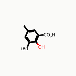 Cc1cc(C(=O)O)c(O)c(C(C)(C)C)c1